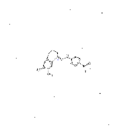 Cc1cc2c(cc1C)/C(=N/Nc1ccc([N+](=O)[O-])cc1)CCC2